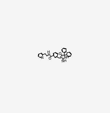 N=C1NC(c2ccccc2)(C2C=CC=CC2)C(=O)N1Cc1cccc(C(=O)NCCc2ccccn2)c1